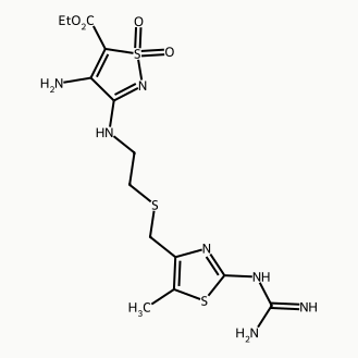 CCOC(=O)C1=C(N)C(NCCSCc2nc(NC(=N)N)sc2C)=NS1(=O)=O